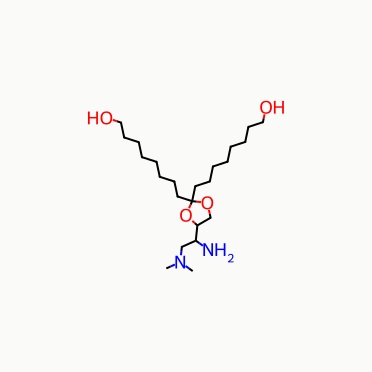 CN(C)CC(N)C1COC(CCCCCCCCO)(CCCCCCCCO)O1